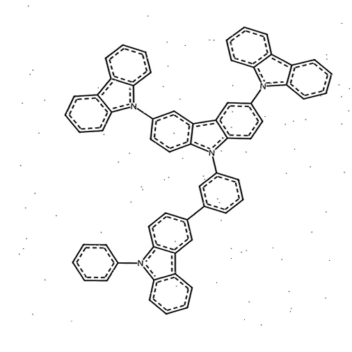 c1ccc(-n2c3ccccc3c3cc(-c4cccc(-n5c6ccc(-n7c8ccccc8c8ccccc87)cc6c6cc(-n7c8ccccc8c8ccccc87)ccc65)c4)ccc32)cc1